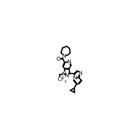 O=C(c1cc2c(cn1)c(-c1cnc3ccc(C4CC4)cn13)nn2CC(F)(F)F)N1CCCCCC1